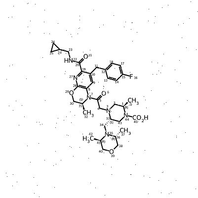 C[C@@H]1CN(CC(=O)N2c3cc(Cc4ccc(F)cc4)c(C(=O)NCC4CC4)nc3OC[C@@H]2C)[C@@H](CN2[C@H](C)COC[C@H]2C)CN1C(=O)O